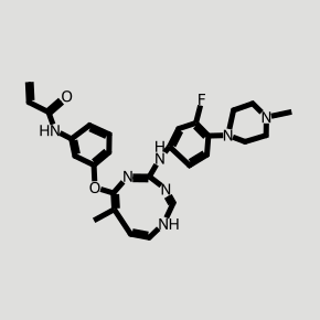 C=CC(=O)Nc1cccc(Oc2nc(Nc3ccc(N4CCN(C)CC4)c(F)c3)nc[nH]ccc2C)c1